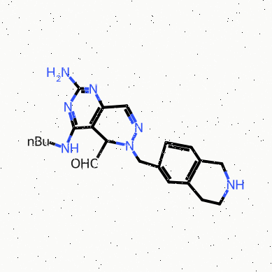 CCCCNc1nc(N)nc2c1C(C=O)N(Cc1ccc3c(c1)CCNC3)N=C2